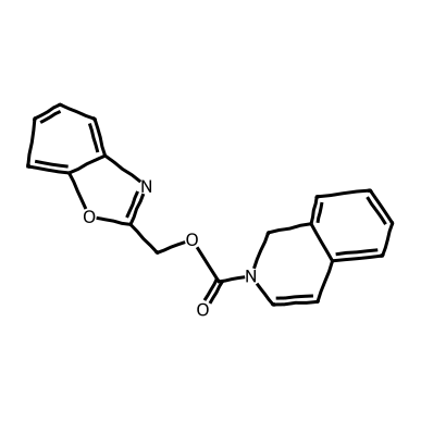 O=C(OCc1nc2ccccc2o1)N1C=Cc2ccccc2C1